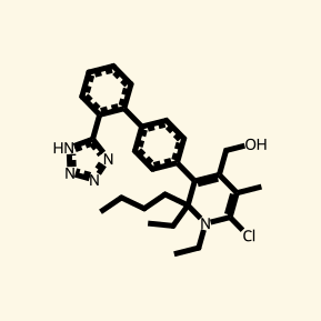 CCCCC1(CC)C(c2ccc(-c3ccccc3-c3nnn[nH]3)cc2)=C(CO)C(C)=C(Cl)N1CC